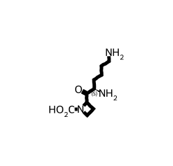 NCCCC[C@H](N)C(=O)C1CCN1C(=O)O